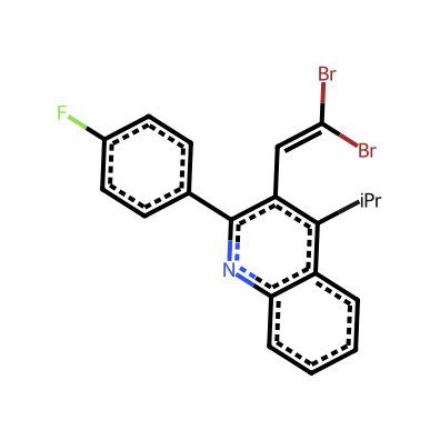 CC(C)c1c(C=C(Br)Br)c(-c2ccc(F)cc2)nc2ccccc12